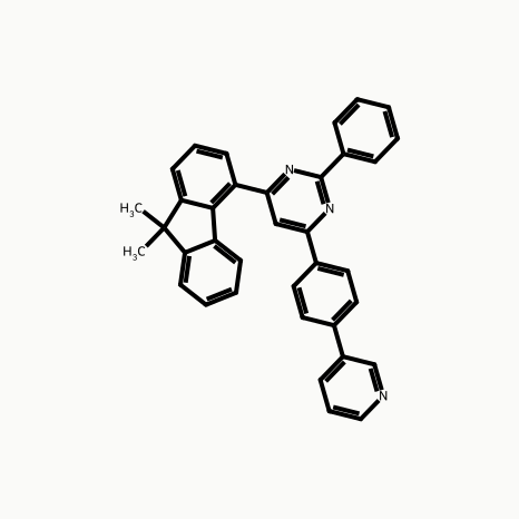 CC1(C)c2ccccc2-c2c(-c3cc(-c4ccc(-c5cccnc5)cc4)nc(-c4ccccc4)n3)cccc21